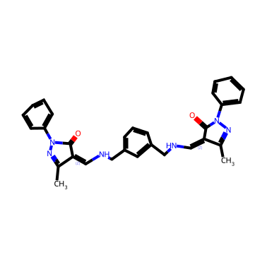 CC1=NN(c2ccccc2)C(=O)/C1=C\NCc1cccc(CN/C=C2\C(=O)N(c3ccccc3)N=C2C)c1